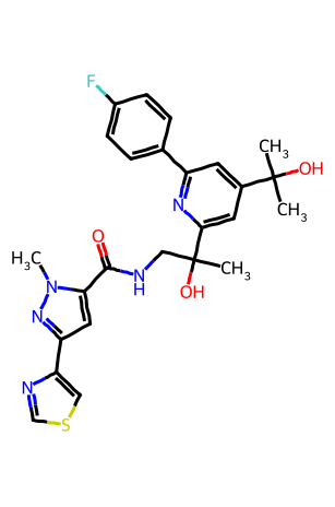 Cn1nc(-c2cscn2)cc1C(=O)NCC(C)(O)c1cc(C(C)(C)O)cc(-c2ccc(F)cc2)n1